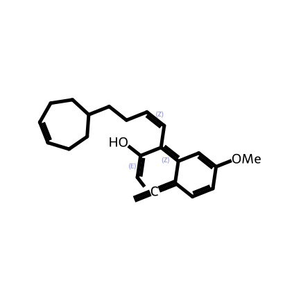 C=C=c1ccc(OC)c/c1=C(\C=C/CCC1CCC=CCC1)C(/O)=C\C